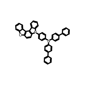 c1ccc(-c2ccc(N(c3ccc(-c4ccccc4)cc3)c3ccc(-n4c5ccccc5c5c6c(ccc54)oc4ccccc46)cc3)cc2)cc1